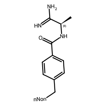 CCCCCCCCCCc1ccc(C(=O)N[C@H](C)C(=N)N)cc1